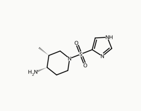 C[C@@H]1CN(S(=O)(=O)c2c[nH]cn2)CC[C@@H]1N